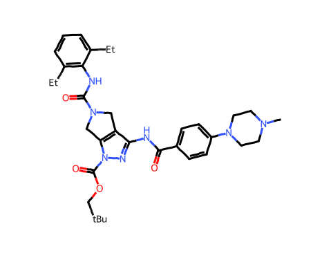 CCc1cccc(CC)c1NC(=O)N1Cc2c(NC(=O)c3ccc(N4CCN(C)CC4)cc3)nn(C(=O)OCC(C)(C)C)c2C1